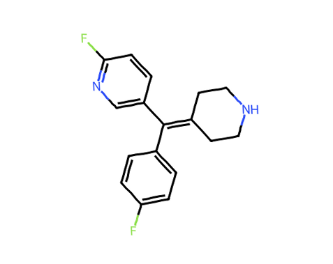 Fc1ccc(C(=C2CCNCC2)c2ccc(F)nc2)cc1